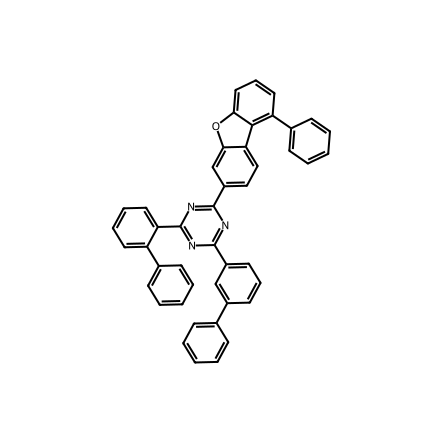 c1ccc(-c2cccc(-c3nc(-c4ccc5c(c4)oc4cccc(-c6ccccc6)c45)nc(-c4ccccc4-c4ccccc4)n3)c2)cc1